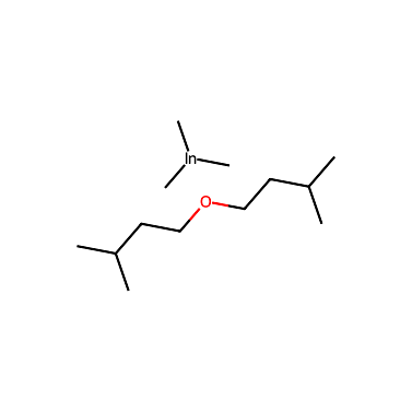 CC(C)CCOCCC(C)C.[CH3][In]([CH3])[CH3]